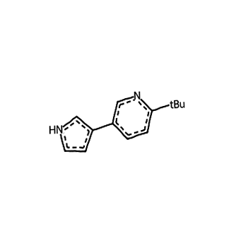 CC(C)(C)c1ccc(-c2cc[nH]c2)cn1